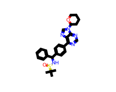 CC(C)(C)[S+]([O-])NC(c1ccccc1)c1ccc(-c2ncnc3c2ncn3C2CCCCO2)cc1